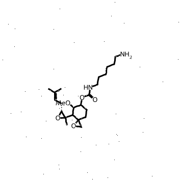 COC1C(OC(=O)NCCCCCCN)CCC2(CO2)C1C1(C)O[C@@H]1CC=C(C)C